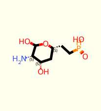 N[C@@H]1C(O)O[C@H](CC[PH](=O)O)C[C@@H]1O